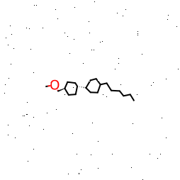 CCCCCCC1CCC([C@H]2CC[C@H](COC)CC2)CC1